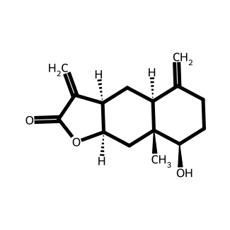 C=C1C(=O)O[C@@H]2C[C@@]3(C)[C@H](O)CCC(=C)[C@@H]3C[C@H]12